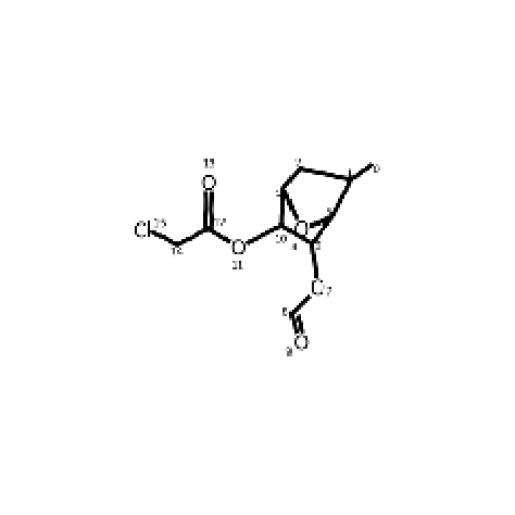 CC1CC2OC1C(OC=O)C2OC(=O)CCl